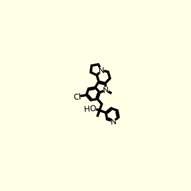 Cn1c2c(c3cc(Cl)cc(CC(C)(O)c4cccnc4)c31)C1CCCN1CC2